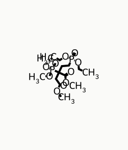 CCOP(=O)(CCC(CC(=O)OC)(C(=O)OC)P(=O)(OC)OC)OCC